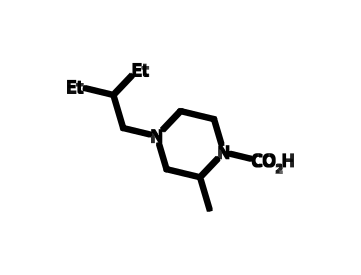 CCC(CC)CN1CCN(C(=O)O)C(C)C1